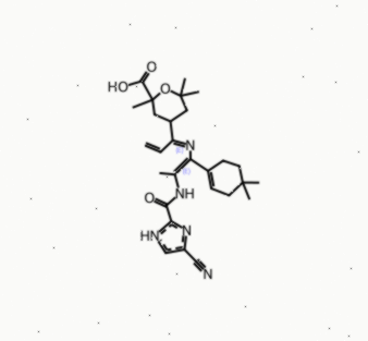 C=C/C(=N\C(C1=CCC(C)(C)CC1)=C(/C)NC(=O)c1nc(C#N)c[nH]1)C1CC(C)(C)OC(C)(C(=O)O)C1